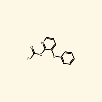 CCC(=O)Oc1ncccc1Oc1ccccc1